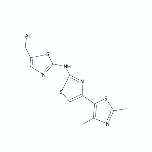 CC(=O)Cc1cnc(Nc2nc(-c3sc(C)nc3C)cs2)s1